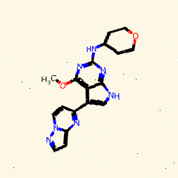 COc1nc(NC2CCOCC2)nc2[nH]cc(-c3ccn4nccc4n3)c12